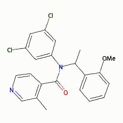 COc1ccccc1C(C)N(C(=O)c1ccncc1C)c1cc(Cl)cc(Cl)c1